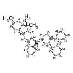 Cc1ccc2c(c1)C(C)(C)c1cc3c(cc1-2)c1ccccc1n3-c1ccc2c3ccccc3c3ccccc3c2c1